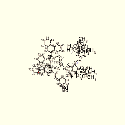 CCCC[C@@H](C)C[C@@H](/C=C/[C@@H]1C(SCCCC(C(=Cc2ccccc2)C(=O)C=Cc2ccccc2)C(C(=O)[O-])(C(=Cc2ccccc2)C(=O)C=Cc2ccccc2)C(=Cc2ccccc2)C(=O)C=Cc2ccccc2)=C(C(F)(F)F)C[C@H]1O[Si](C)(C)C(C)(C)C)O[Si](C)(C)C(C)(C)C.[Pd].[Pd]